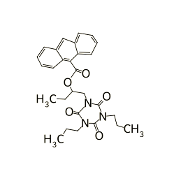 CCCn1c(=O)n(CCC)c(=O)n(CC(CC)OC(=O)c2c3ccccc3cc3ccccc23)c1=O